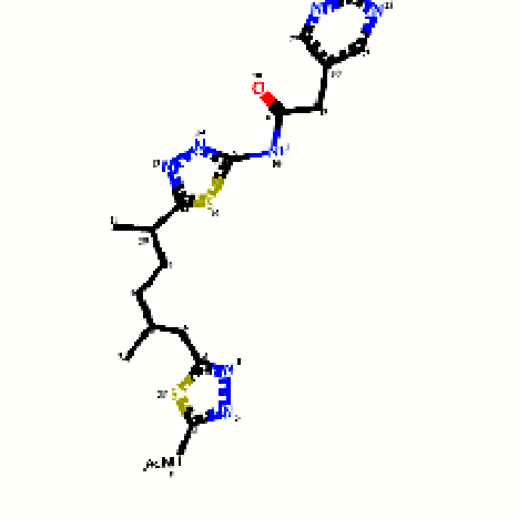 CC(=O)Nc1nnc(CC(C)CCC(C)c2nnc(NC(=O)Cc3cncnc3)s2)s1